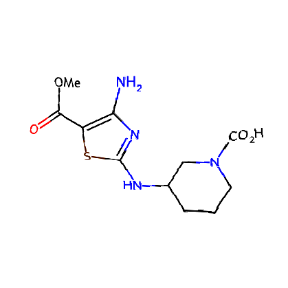 COC(=O)c1sc(NC2CCCN(C(=O)O)C2)nc1N